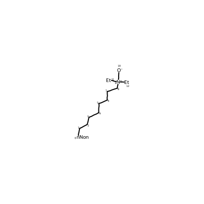 CCCCCCCCCCCCCCCCC[N+]([O-])(CC)CC